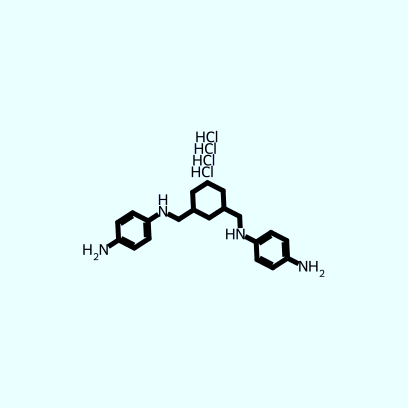 Cl.Cl.Cl.Cl.Nc1ccc(NCC2CCCC(CNc3ccc(N)cc3)C2)cc1